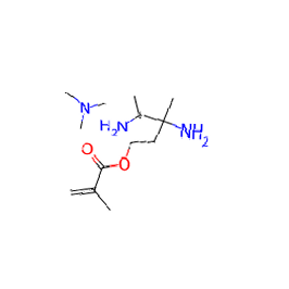 C=C(C)C(=O)OCCC(C)(N)[C](C)N.CN(C)C